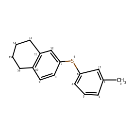 Cc1cccc(Sc2ccc3c(c2)CCCC3)c1